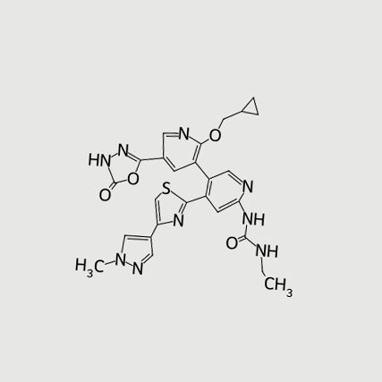 CCNC(=O)Nc1cc(-c2nc(-c3cnn(C)c3)cs2)c(-c2cc(-c3n[nH]c(=O)o3)cnc2OCC2CC2)cn1